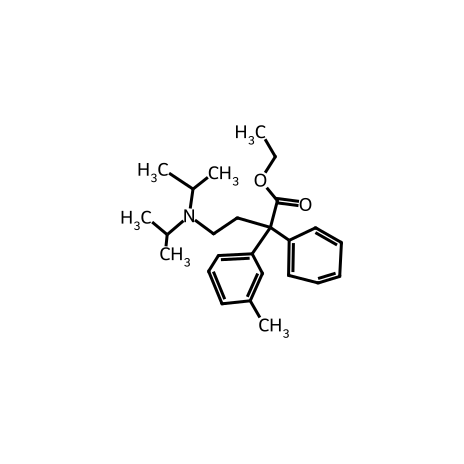 CCOC(=O)C(CCN(C(C)C)C(C)C)(c1ccccc1)c1cccc(C)c1